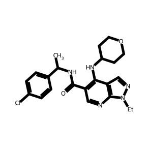 CCn1ncc2c(NC3CCOCC3)c(C(=O)NC(C)c3ccc(Cl)cc3)cnc21